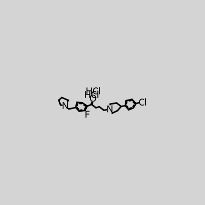 Cl.Cl.O=C(CCCN1CCC(c2ccc(Cl)cc2)CC1)c1ccc(CN2CCCC2)cc1F